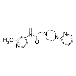 Cc1cc(NC(=O)CN2CCN(c3ccccn3)CC2)ccn1